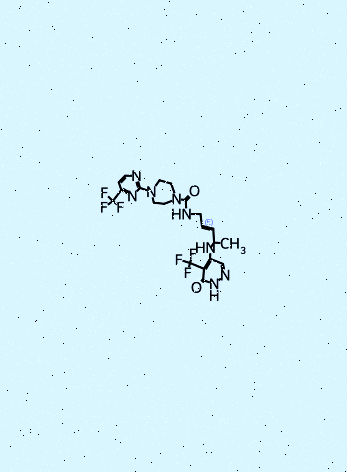 CC(/C=C/CNC(=O)N1CCN(c2nccc(C(F)(F)F)n2)CC1)Nc1cn[nH]c(=O)c1C(F)(F)F